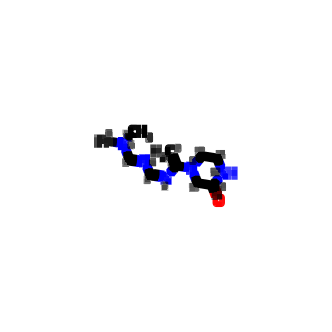 C=C(/N=C\N=C\N(C)C(C)C)N1CCNC(=O)C1